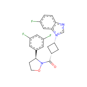 O=C([C@H]1C[C@@H](n2cnc3ccc(F)cc32)C1)N1OCC[C@H]1c1cc(F)cc(F)c1